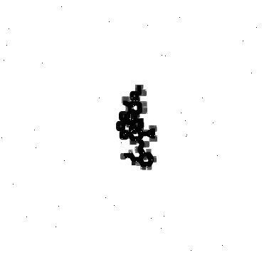 C=C/C=c1/cccc/c1=C\Cc1cc(=O)n2c(C(=O)O)c(-c3ccc(OCC)c(C)c3)sc2c1C1CC1